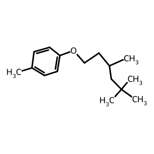 Cc1ccc(OCCC(C)CC(C)(C)C)cc1